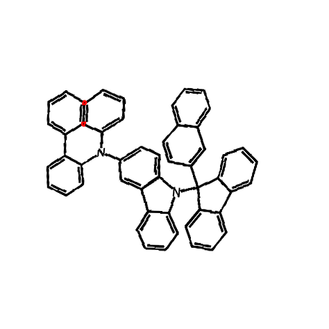 c1ccc(-c2ccccc2N(c2ccccc2)c2ccc3c(c2)c2ccccc2n3C2(c3ccc4ccccc4c3)c3ccccc3-c3ccccc32)cc1